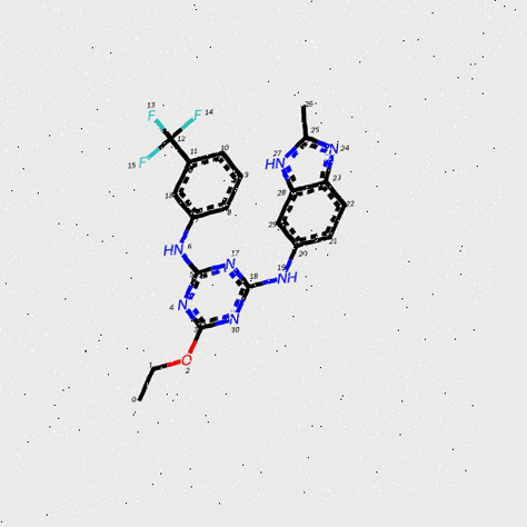 CCOc1nc(Nc2cccc(C(F)(F)F)c2)nc(Nc2ccc3nc(C)[nH]c3c2)n1